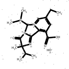 CCc1cc(C(=O)O)c2[n+](c1)C(N(C)C)N1C(=O)C(C)(C(C)C)N=C21.[OH-]